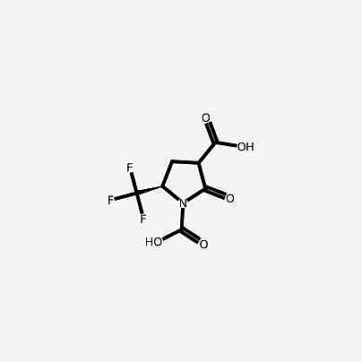 O=C(O)C1C[C@H](C(F)(F)F)N(C(=O)O)C1=O